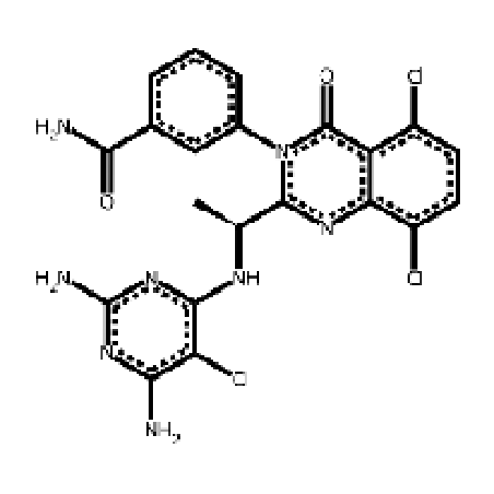 C[C@H](Nc1nc(N)nc(N)c1Cl)c1nc2c(Cl)ccc(Cl)c2c(=O)n1-c1cccc(C(N)=O)c1